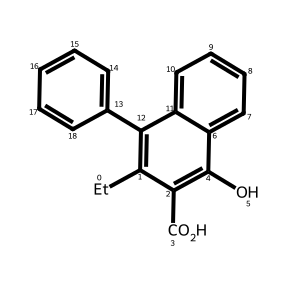 CCc1c(C(=O)O)c(O)c2ccccc2c1-c1ccccc1